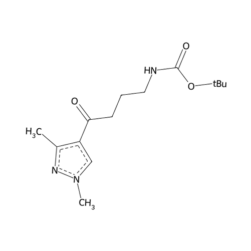 Cc1nn(C)cc1C(=O)CCCNC(=O)OC(C)(C)C